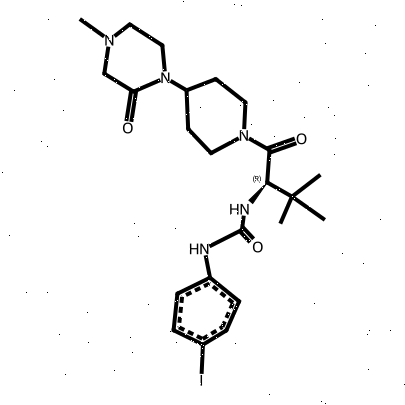 CN1CCN(C2CCN(C(=O)[C@H](NC(=O)Nc3ccc(I)cc3)C(C)(C)C)CC2)C(=O)C1